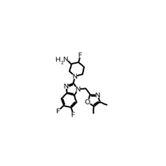 Cc1nc(Cn2c(N3CCC(F)C(N)C3)nc3cc(F)c(F)cc32)oc1C